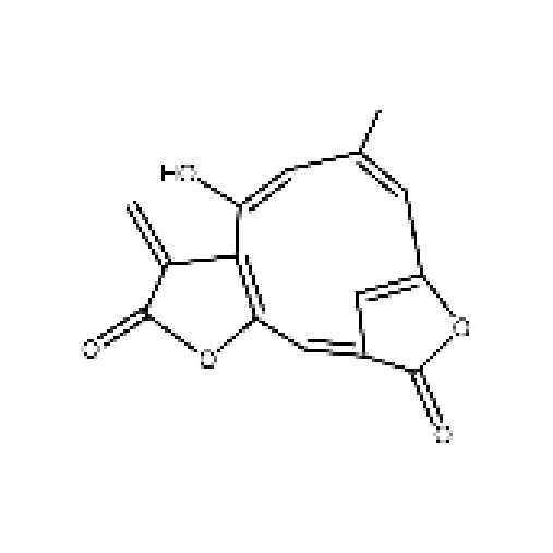 C=C1C(=O)Oc2cc3cc(cc(C)cc(O)c21)OC3=O